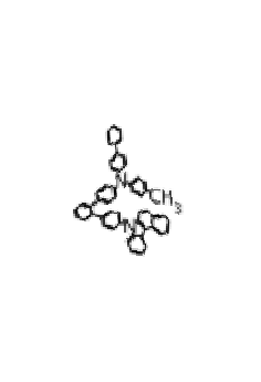 Cc1ccc(N(c2ccc(-c3ccccc3)cc2)c2ccc(-c3ccccc3-c3ccc(-n4c5ccccc5c5c6ccccc6ccc54)cc3)cc2)cc1